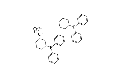 [Cl-].[Cl-].[Co+2].c1ccc(P(c2ccccc2)C2CCCCC2)cc1.c1ccc(P(c2ccccc2)C2CCCCC2)cc1